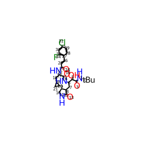 CC(C)(C)NC(=O)C(O)C(CC1CCNC1=O)NC(=O)C(CC1CC1)NC(=O)/C=C/c1ccc(Cl)cc1F